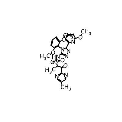 COc1cccc(-c2nnc(NS(=O)(=O)C(C)C(=O)c3ncc(C)cn3)n2-c2c(OC)cccc2OC)n1